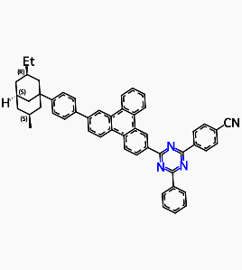 CC[C@@H]1C[C@@H]2C[C@H](C)CC(c3ccc(-c4ccc5c6ccc(-c7nc(-c8ccccc8)nc(-c8ccc(C#N)cc8)n7)cc6c6ccccc6c5c4)cc3)(C1)C2